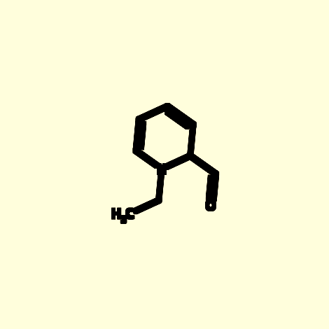 CCN1C=CC=CC1C=O